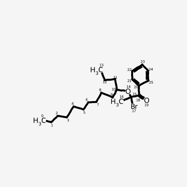 CCCCCCCCCCC(CCC)OC(C)(Br)C(=O)c1ccccc1